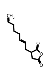 C=CCCCC=CCC1CC(=O)OC1=O